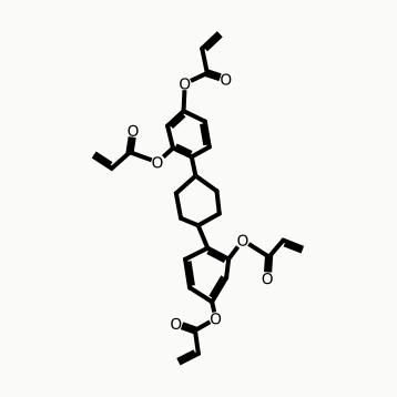 C=CC(=O)Oc1ccc(C2CCC(c3ccc(OC(=O)C=C)cc3OC(=O)C=C)CC2)c(OC(=O)C=C)c1